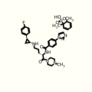 CC1C=CC=CC1(C)S(=O)(=O)O.CN1CCN(C(=O)[C@H](CCCN[C@@H]2C[C@H]2c2ccc(F)cc2)NC(=O)c2ccc(-n3ccnn3)cc2)CC1